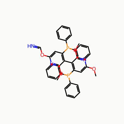 COc1cc(P(c2ccccc2)c2ccccc2)c(-c2c(P(c3ccccc3)c3ccccc3)cc(OC=N)nc2OC)c(OC)n1